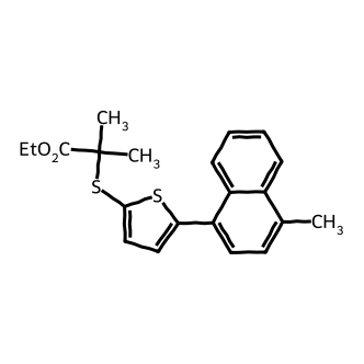 CCOC(=O)C(C)(C)Sc1ccc(-c2ccc(C)c3ccccc23)s1